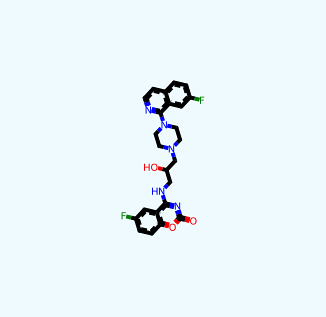 O=c1nc(NCC(O)CN2CCN(c3nccc4ccc(F)cc34)CC2)c2cc(F)ccc2o1